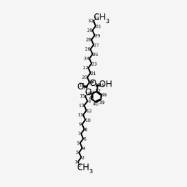 CCCCCCCCCCCCCCCCOC(=O)CCCCCCCCCCCCCCC.O=C(O)c1ccccc1